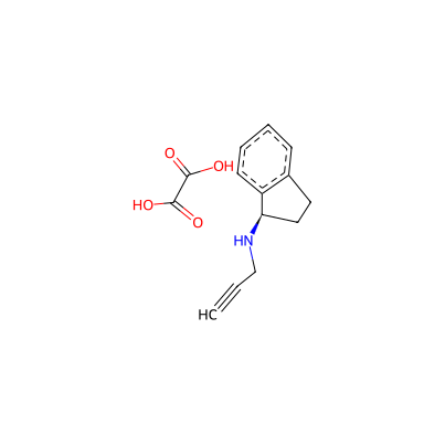 C#CCN[C@@H]1CCc2ccccc21.O=C(O)C(=O)O